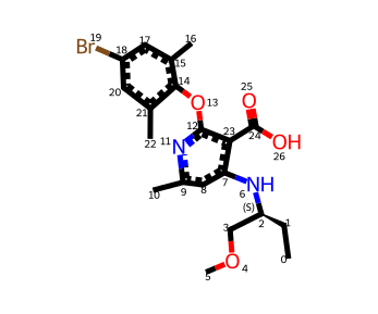 CC[C@@H](COC)Nc1cc(C)nc(Oc2c(C)cc(Br)cc2C)c1C(=O)O